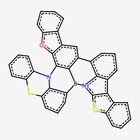 c1ccc2c(c1)Sc1cccc3c1N2c1c2c(cc4c1oc1ccccc14)-c1cccc4c5c6ccccc6sc5n(c14)B32